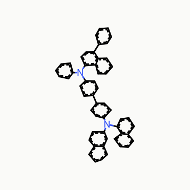 c1ccc(-c2ccc(N(c3ccccc3)c3ccc(-c4ccc(N(c5ccc6ccccc6c5)c5cccc6ccccc56)cc4)cc3)c3ccccc23)cc1